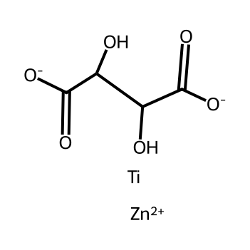 O=C([O-])C(O)C(O)C(=O)[O-].[Ti].[Zn+2]